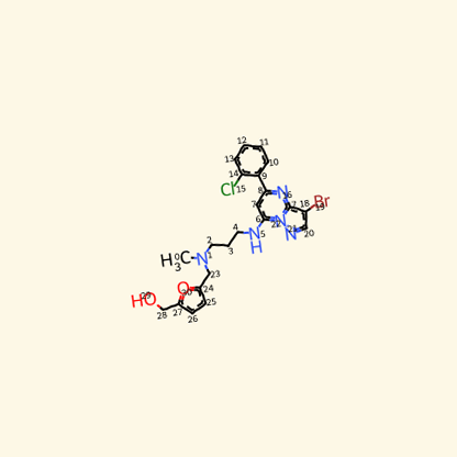 CN(CCCNc1cc(-c2ccccc2Cl)nc2c(Br)cnn12)Cc1ccc(CO)o1